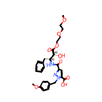 COCCOCCOC(=O)[C@H](O)[C@@H](Cc1ccccc1)NC(=O)c1cc(C(=O)O)n(Cc2ccc(OC)cc2)n1